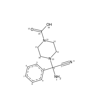 N#CC(N)(c1ccccc1)N1CCN(C(=O)O)CC1